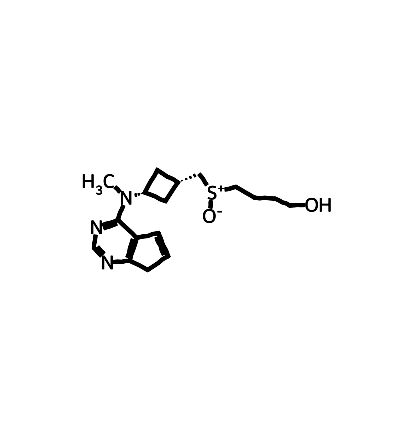 CN(c1ncnc2c1C=CC2)[C@H]1C[C@@H](C[S+]([O-])CCCCO)C1